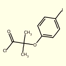 CC(C)(Oc1ccc(I)cc1)C(=O)Cl